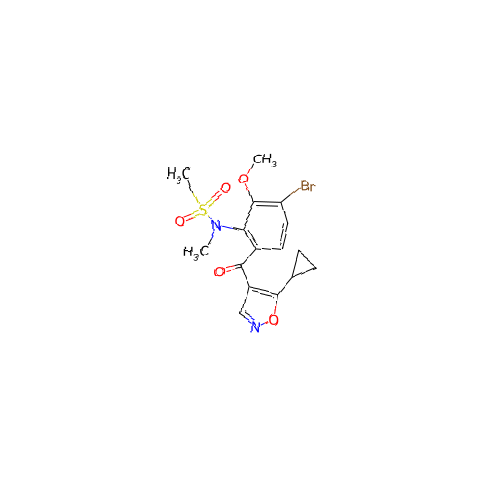 COc1c(Br)ccc(C(=O)c2cnoc2C2CC2)c1N(C)S(C)(=O)=O